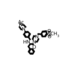 CC(=O)N1CCN(c2ccc(CNC(Cc3ccccc3)C(=O)N3CCN(Cc4ccc(S(C)(=O)=O)cc4)CC3)cc2)CC1